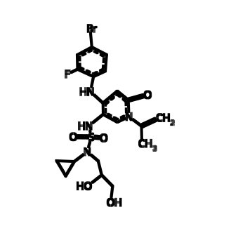 C=C(C)n1cc(NS(=O)(=O)N(CC(O)CO)C2CC2)c(Nc2ccc(Br)cc2F)cc1=O